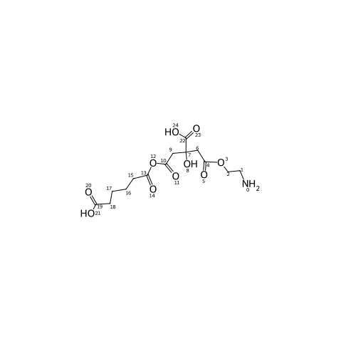 NCCOC(=O)CC(O)(CC(=O)OC(=O)CCCCC(=O)O)C(=O)O